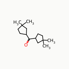 CC1(C)CCC(C(=O)C2CCC(C)(C)C2)C1